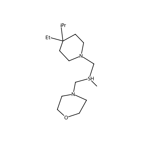 CCC1(C(C)C)CCN(C[SH](C)CN2CCOCC2)CC1